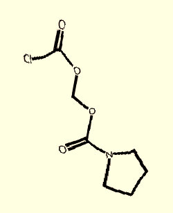 O=C(Cl)OCOC(=O)N1CCCC1